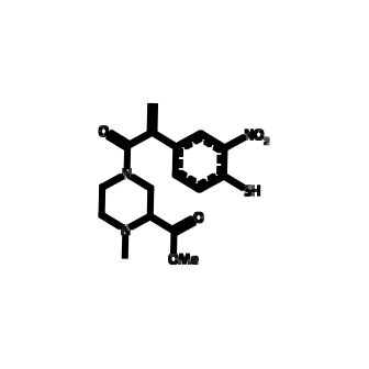 C=C(C(=O)N1CCN(C)C(C(=O)OC)C1)c1ccc(S)c([N+](=O)[O-])c1